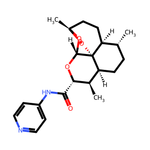 C[C@H]1[C@H](C(=O)Nc2ccncc2)O[C@@H]2O[C@@]3(C)CC[C@H]4[C@H](C)CC[C@@H]1[C@@]24OO3